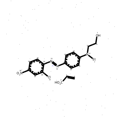 C=CC(=O)O.CCN(CCO)c1ccc(/N=N/c2ccc([N+](=O)[O-])cc2Cl)cc1